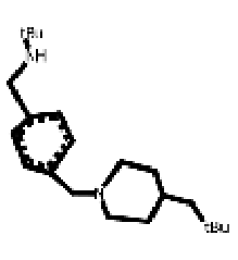 CC(C)(C)CC1CCN(Cc2ccc(CNC(C)(C)C)cc2)CC1